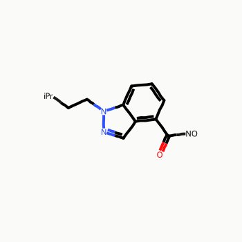 CC(C)CCn1ncc2c(C(=O)N=O)cccc21